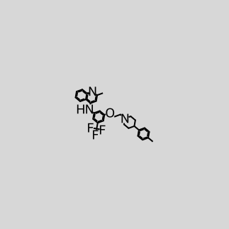 Cc1ccc(C2CCN(CCOc3cc(Nc4cc(C)nc5ccccc45)cc(C(F)(F)F)c3)CC2)cc1